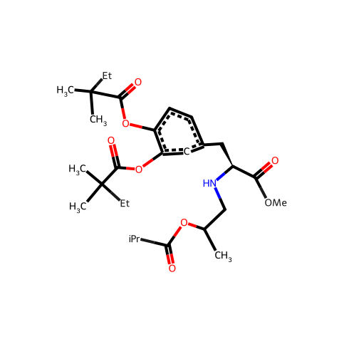 CCC(C)(C)C(=O)Oc1ccc(C[C@H](NCC(C)OC(=O)C(C)C)C(=O)OC)cc1OC(=O)C(C)(C)CC